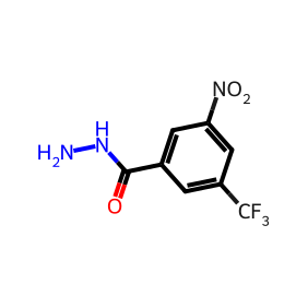 NNC(=O)c1cc([N+](=O)[O-])cc(C(F)(F)F)c1